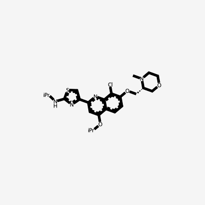 CC(C)Nc1nc(-c2cc(OC(C)C)c3ccc(OC[C@H]4COCCN4C)c(Cl)c3n2)cs1